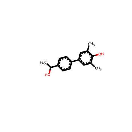 Cc1cc(-c2ccc(C(C)O)cc2)cc(C)c1O